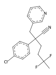 CC(F)(F)CCC(C#N)(Cc1cccnc1)c1ccc(Cl)cc1